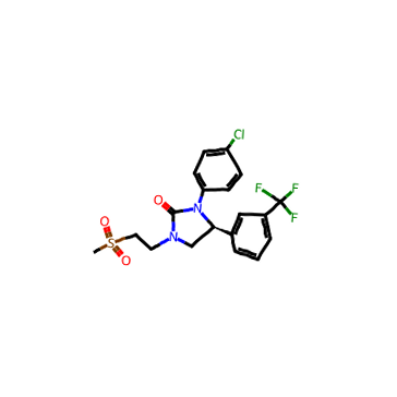 CS(=O)(=O)CCN1C[C@H](c2cccc(C(F)(F)F)c2)N(c2ccc(Cl)cc2)C1=O